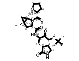 O=C(COC(F)(F)F)C(C[C@@H]1CCNC1=O)NC(=O)[C@@H]1C[C@H]2C[C@H]2N1C(=O)[C@H]1CCCO1